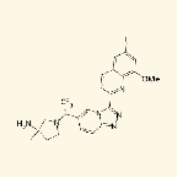 COc1cc(F)cc2ccc(-c3nnc4ccc([C@H](N5CCC(C)(N)C5)C(F)(F)F)cn34)nc12